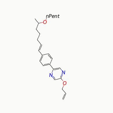 C=CCOc1cnc(-c2ccc(C=CCCCC(C)OCCCCC)cc2)cn1